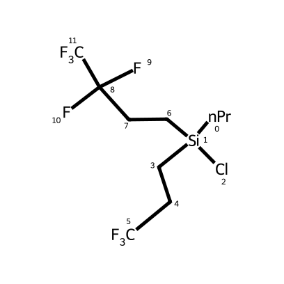 CCC[Si](Cl)(CCC(F)(F)F)CCC(F)(F)C(F)(F)F